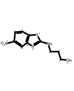 O=[N+]([O-])c1ccc2sc(NCCCO)nc2c1